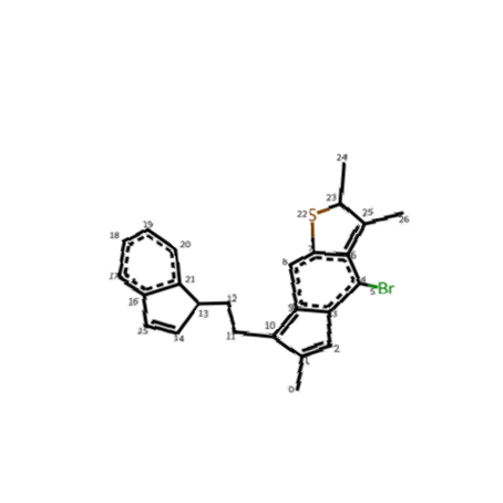 CC1=Cc2c(Br)c3c(cc2=C1CCC1C=Cc2ccccc21)SC(C)C=3C